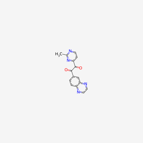 Cc1nccc(C(=O)C(=O)c2ccc3nccnc3c2)n1